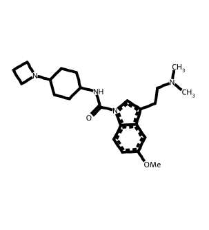 COc1ccc2c(c1)c(CCN(C)C)cn2C(=O)NC1CCC(N2CCC2)CC1